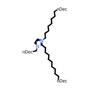 CCCCCCCCCCCCCCCCCCCc1n(CCCCCCCCCCCCCCCCCC)cc[n+]1CCCCCCCCCCC